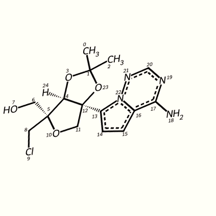 CC1(C)O[C@@H]2[C@](CO)(CCl)OC[C@]2(c2ccc3c(N)ncnn23)O1